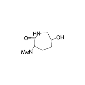 CNC1CCC(O)CNC1=O